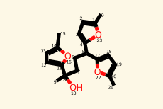 Cc1ccc(C(CCC(C)(O)c2ccc(C)o2)c2ccc(C)o2)o1